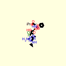 CC(C)OC(=O)[C@H](C)NP(=O)(OC[C@H]1O[C@@H](n2cnc3c(NC4CC4)nc(N)nc32)[C@@](Cl)(CF)[C@@H]1O)Oc1ccccc1